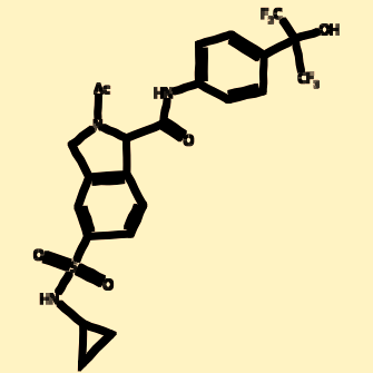 CC(=O)N1Cc2cc(S(=O)(=O)NC3CC3)ccc2C1C(=O)Nc1ccc(C(O)(C(F)(F)F)C(F)(F)F)cc1